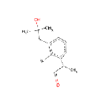 [2H]c1c(CC(C)(C)O)cccc1C(C)C=O